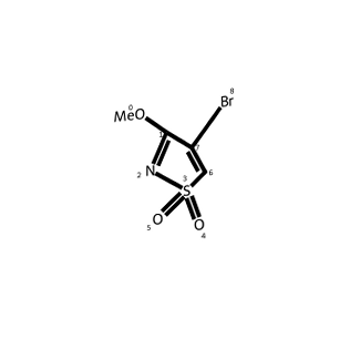 COC1=NS(=O)(=O)C=C1Br